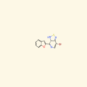 BrC1=CN=C(c2cc3ccccc3o2)C2NSN=C12